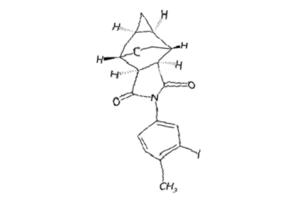 Cc1ccc(N2C(=O)[C@@H]3[C@@H]4CC[C@@H]([C@H]5C[C@H]54)[C@@H]3C2=O)cc1I